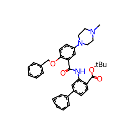 CN1CCN(c2ccc(OCc3ccccc3)c(C(=O)Nc3cc(-c4ccccc4)ccc3C(=O)OC(C)(C)C)c2)CC1